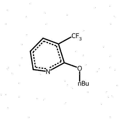 CCCCOc1ncccc1C(F)(F)F